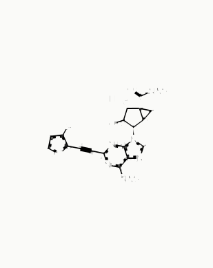 CNC(=O)[C@]12CC1[C@@H](n1cnc3c(NC)nc(C#Cc4sccc4C)nc31)C(O)[C@@H]2O